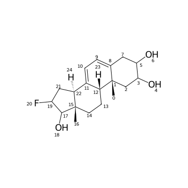 C[C@]12CC(O)C(O)CC1=CC=C1[C@H]2CC[C@]2(C)C(O)C(F)C[C@@H]12